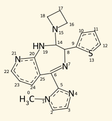 Cn1ccnc1C1=NC(c2cccs2)C(N2CCC2)Nc2ncccc21